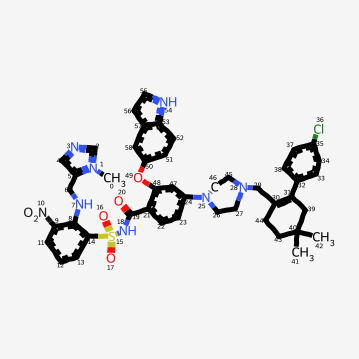 Cn1cncc1CNc1c([N+](=O)[O-])cccc1S(=O)(=O)NC(=O)c1ccc(N2CCN(CC3=C(c4ccc(Cl)cc4)CC(C)(C)CC3)CC2)cc1Oc1ccc2[nH]ccc2c1